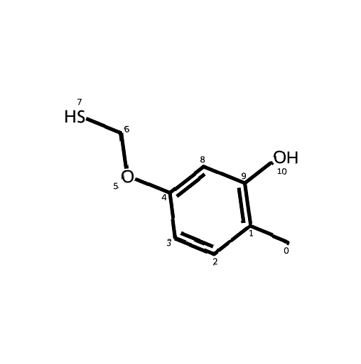 Cc1ccc(OCS)cc1O